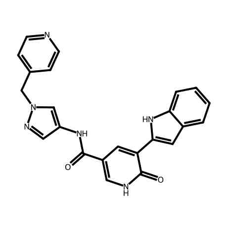 O=C(Nc1cnn(Cc2ccncc2)c1)c1c[nH]c(=O)c(-c2cc3ccccc3[nH]2)c1